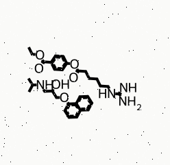 CC(C)NCC(O)COc1cccc2ccccc12.CCOC(=O)c1ccc(OC(=O)CCCCCNC(=N)N)cc1